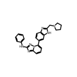 c1ccc(Nc2nc3cccc(-c4ccc5nc(CN6CCCC6)[nH]c5c4)n3n2)cc1